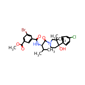 COC(=O)c1cc(Br)cc(C(=O)N[C@@H](C(=O)N2CC[C@](O)(c3ccc(Cl)cc3)C(C)(C)C2)C(C)C)c1